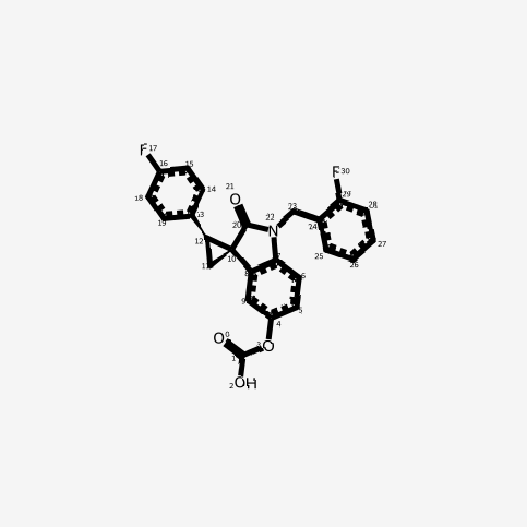 O=C(O)Oc1ccc2c(c1)[C@@]1(C[C@H]1c1ccc(F)cc1)C(=O)N2Cc1ccccc1F